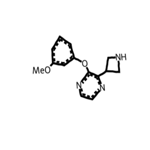 COc1cccc(Oc2nccnc2C2CNC2)c1